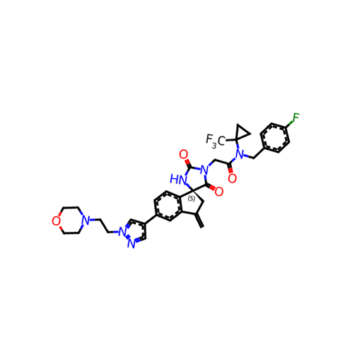 C=C1C[C@]2(NC(=O)N(CC(=O)N(Cc3ccc(F)cc3)C3(C(F)(F)F)CC3)C2=O)c2ccc(-c3cnn(CCN4CCOCC4)c3)cc21